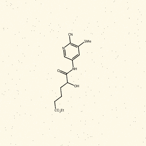 CCOC(=O)CCCC(O)C(=O)Nc1cnc(C#N)c(SC)c1